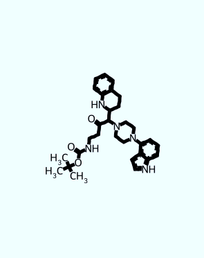 CC(C)(C)OC(=O)NCCC(=O)C(C1CCc2ccccc2N1)N1CCN(c2cccc3[nH]ccc23)CC1